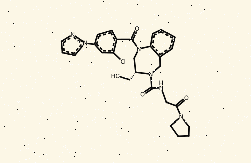 O=C(CNC(=O)N1Cc2ccccc2N(C(=O)c2ccc(-n3cccn3)cc2Cl)C[C@H]1CO)N1CCCC1